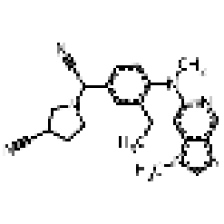 CCc1cc(C(C#N)N2CCC(C#N)C2)ccc1N(C)c1cc2c(cn1)ncn2C